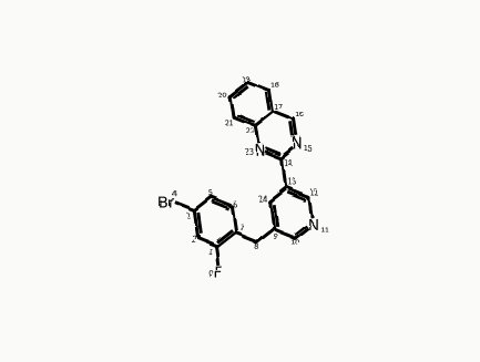 Fc1cc(Br)ccc1Cc1cncc(-c2ncc3ccccc3n2)c1